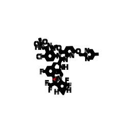 Cc1cnc(COc2ccc3c(=O)n(-c4ccc(Cl)c5c(NS(C)(=O)=O)nn(C)c45)c([C@H](Cc4cc(F)cc(F)c4)NC(=O)Cn4nc(C(F)F)c5c4C(F)(F)[C@@H]4C[C@H]54)nc3n2)nc1